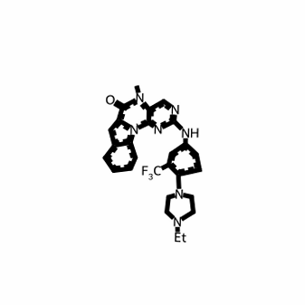 CCN1CCN(c2ccc(Nc3ncc4c(n3)n3c(cc5ccccc53)c(=O)n4C)cc2C(F)(F)F)CC1